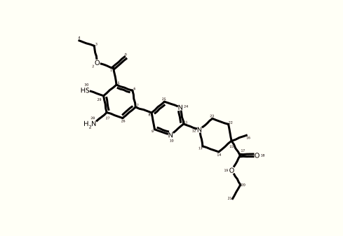 C=C(OCC)c1cc(-c2cnc(N3CCC(C)(C(=O)OCC)CC3)nc2)cc(N)c1S